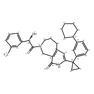 O=C([C@H](O)c1cccc(C(F)(F)F)c1)N1CCCc2nc(C3(c4cccc(C5CCCCC5)c4)CC3)[nH]c(=O)c2C1